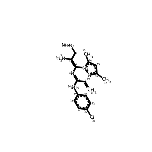 C=C/C(=N\C(=C(/N)CNC)n1nc(C)cc1C)Nc1ccc(Cl)cc1